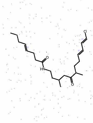 CCC/C=C/CCC(=O)NCCC(C)CC(=O)C(C)CC/C=C/C=C/Cl